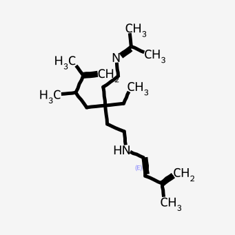 C=C(C)/C=C/NCCC(CC)(CCN=C(C)C)CC(C)C(=C)C